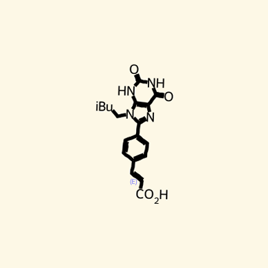 CCC(C)Cn1c(-c2ccc(/C=C/C(=O)O)cc2)nc2c(=O)[nH]c(=O)[nH]c21